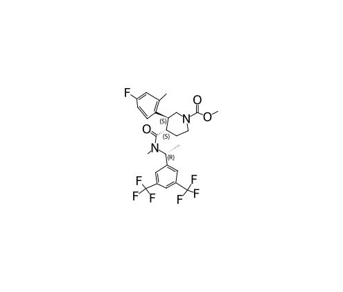 COC(=O)N1CC[C@H](C(=O)N(C)[C@H](C)c2cc(C(F)(F)F)cc(C(F)(F)F)c2)[C@@H](c2ccc(F)cc2C)C1